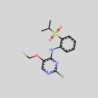 CC(C)S(=O)(=O)c1ccccc1Nc1nc(Cl)ncc1OCF